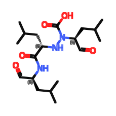 CC(C)C[C@@H](C=O)NC(=O)[C@H](CC(C)C)NN(C(=O)O)[C@H](C=O)CC(C)C